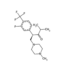 CC(C)C(=O)[C@@H](CN1CCN(C)CC1)c1ccc(C(F)(F)F)c(F)c1